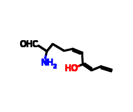 C=C/C=C(O)\C=C/CCC(N)C=O